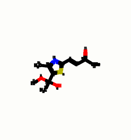 CCOC(C)(O)c1sc(C=CC(=O)OC)nc1C